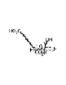 O=C(O)CCCCCCCCCCCCC(=O)N[C@@H](CCC(=O)N[C@@H](CCOCO)C(=O)O)C(=O)O